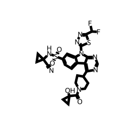 N#CC1(NS(=O)(=O)c2ccc3c4c(C5CCN(C(=O)C6(O)CC6)CC5)ncnc4n(-c4nnc(C(F)F)s4)c3c2)CC1